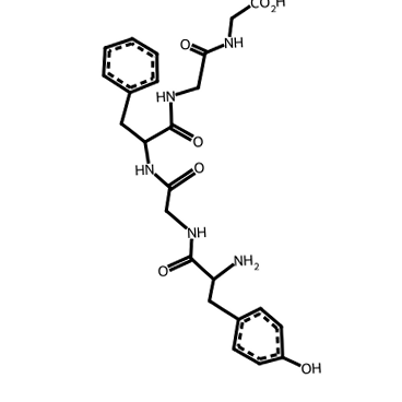 NC(Cc1ccc(O)cc1)C(=O)NCC(=O)NC(Cc1ccccc1)C(=O)NCC(=O)NCC(=O)O